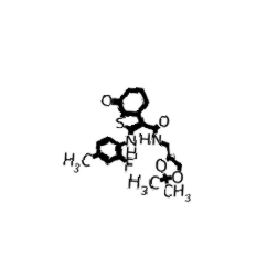 Cc1ccc(Nc2sc3c(c2C(=O)NC[C@H]2COC(C)(C)O2)CCCC3=O)c(F)c1